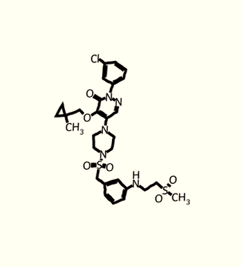 CC1(COc2c(N3CCN(S(=O)(=O)Cc4cccc(NCCS(C)(=O)=O)c4)CC3)cnn(-c3cccc(Cl)c3)c2=O)CC1